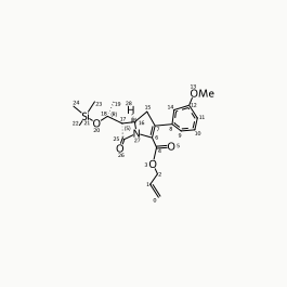 C=CCOC(=O)C1=C(c2cccc(OC)c2)C[C@@H]2[C@@H]([C@@H](C)O[Si](C)(C)C)C(=O)N12